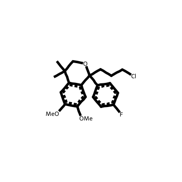 COc1cc2c(cc1OC)C(CCCCl)(c1ccc(F)cc1)OCC2(C)C